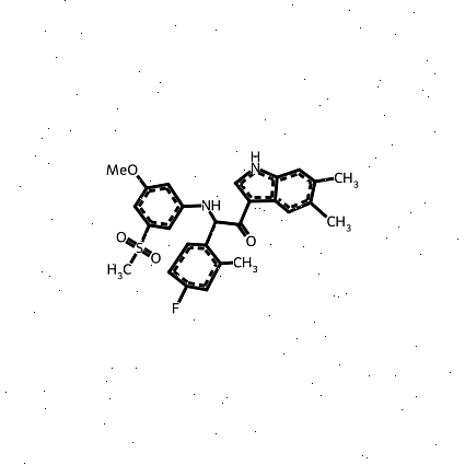 COc1cc(NC(C(=O)c2c[nH]c3cc(C)c(C)cc23)c2ccc(F)cc2C)cc(S(C)(=O)=O)c1